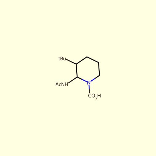 CC(=O)NC1C(C(C)(C)C)CCCN1C(=O)O